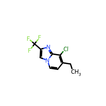 CCc1ccn2cc(C(F)(F)F)nc2c1Cl